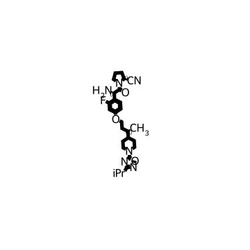 CC(C)c1noc(N2CCC([C@H](C)CCOc3ccc([C@H](N)C(=O)N4CCC[C@H]4C#N)c(F)c3)CC2)n1